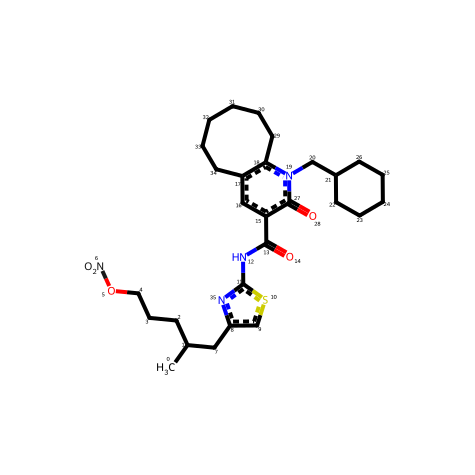 CC(CCCO[N+](=O)[O-])Cc1csc(NC(=O)c2cc3c(n(CC4CCCCC4)c2=O)CCCCCC3)n1